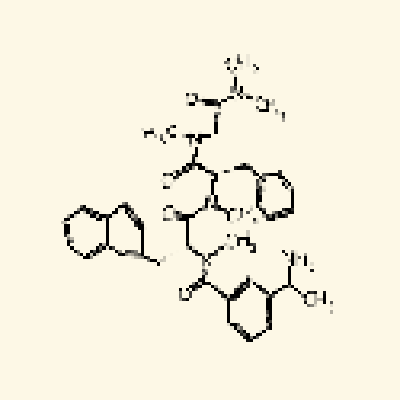 CC(N)c1cccc(C(=O)N(C)[C@H](Cc2ccc3ccccc3c2)C(=O)N(C)[C@H](Cc2ccccc2)C(=O)N(C)CC(=O)N(C)C)c1